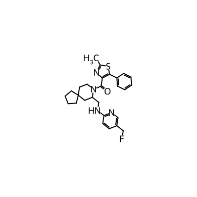 Cc1nc(C(=O)N2CCC3(CCCC3)CC2CNc2ccc(CF)cn2)c(-c2ccccc2)s1